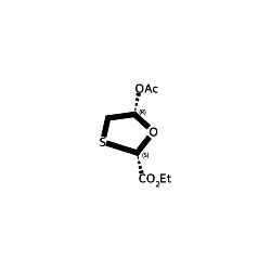 CCOC(=O)[C@H]1O[C@@H](OC(C)=O)CS1